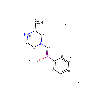 O=C(O)C1CN(C=[P+]([O-])c2ccccc2)CCN1